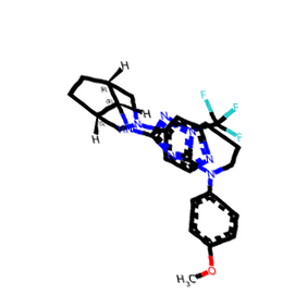 COc1ccc(N2CCCn3nc(N[C@H]4[C@@H]5CC[C@H]4CN(c4ccnc(C(F)(F)F)c4)C5)nc32)cc1